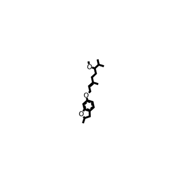 COC(CC/C(C)=C/COc1ccc2c(c1)OC(C)C2)C(C)C